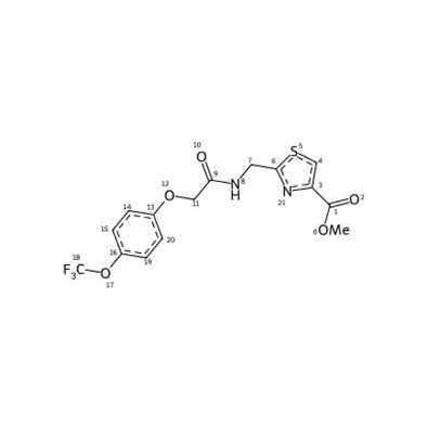 COC(=O)c1csc(CNC(=O)COc2ccc(OC(F)(F)F)cc2)n1